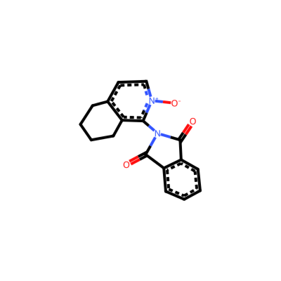 O=C1c2ccccc2C(=O)N1c1c2c(cc[n+]1[O-])CCCC2